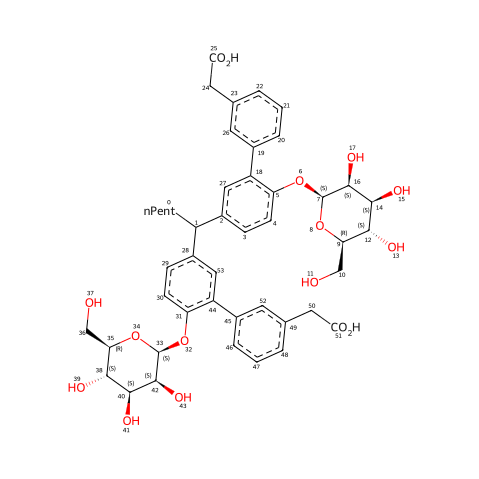 CCCCCC(c1ccc(O[C@@H]2O[C@H](CO)[C@@H](O)[C@H](O)[C@@H]2O)c(-c2cccc(CC(=O)O)c2)c1)c1ccc(O[C@@H]2O[C@H](CO)[C@@H](O)[C@H](O)[C@@H]2O)c(-c2cccc(CC(=O)O)c2)c1